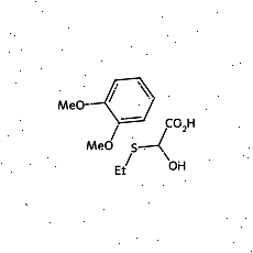 CCSC(O)C(=O)O.COc1ccccc1OC